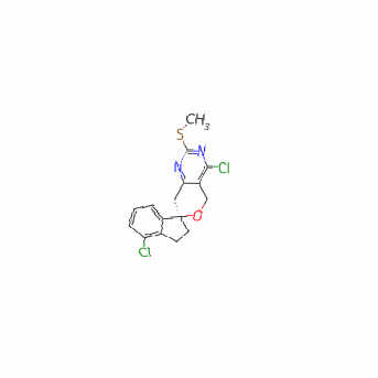 CSc1nc(Cl)c2c(n1)C[C@@]1(CCc3c(Cl)cccc31)OC2